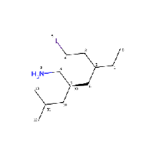 CCC(CCI)C[C@H](CN)CC(C)C